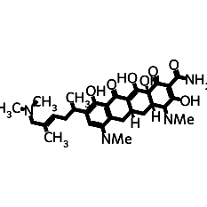 CNc1cc(C(C)C/C=C(\C)CN(C)C)c(O)c2c1C[C@H]1C[C@H]3C(NC)C(O)=C(C(N)=O)C(=O)[C@@]3(O)C(O)=C1C2=O